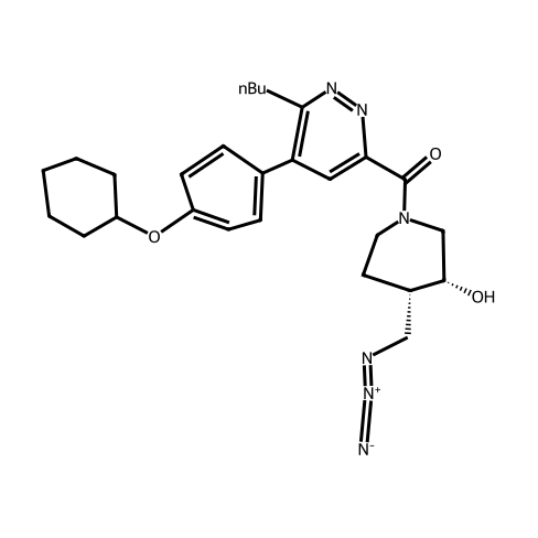 CCCCc1nnc(C(=O)N2CC[C@@H](CN=[N+]=[N-])[C@@H](O)C2)cc1-c1ccc(OC2CCCCC2)cc1